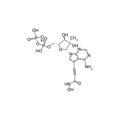 C[C@@]1(O)[C@H](O)[C@@H](COP(=O)(O)OP(=O)(O)O)O[C@H]1n1cc(C#CC(=O)NO)c2c(N)ncnc21